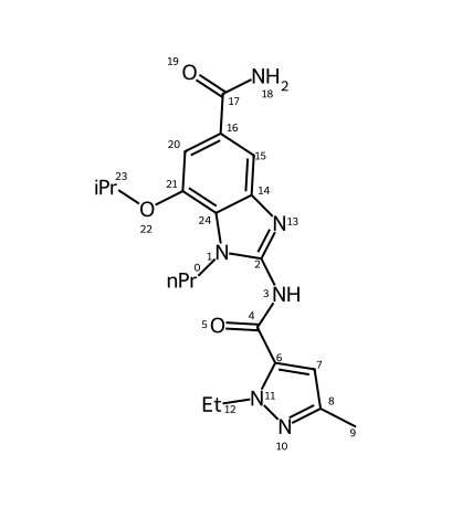 CCCn1c(NC(=O)c2cc(C)nn2CC)nc2cc(C(N)=O)cc(OC(C)C)c21